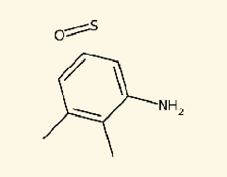 Cc1cccc(N)c1C.O=S